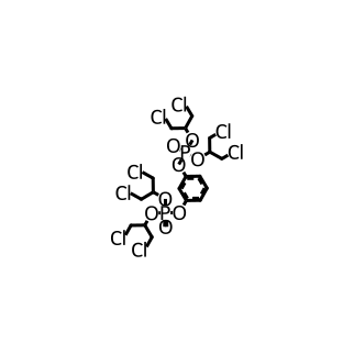 O=P(Oc1cccc(OP(=O)(OC(CCl)CCl)OC(CCl)CCl)c1)(OC(CCl)CCl)OC(CCl)CCl